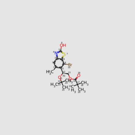 Cc1cc2nc(O)sc2c(Br)c1[C@@H](COC(=O)C(C)(C)C)OC(C)(C)C